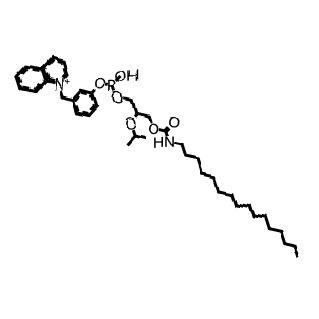 CCCCCCCCCCCCCCCCNC(=O)OCC(COP(O)Oc1cccc(C[n+]2cccc3ccccc32)c1)OC(C)C